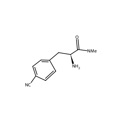 CNC(=O)[C@@H](N)Cc1ccc(C#N)cc1